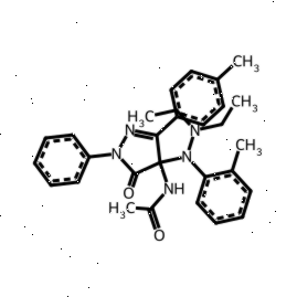 CCN(CC)N(c1ccccc1C)C1(NC(C)=O)C(=O)N(c2ccccc2)N=C1c1ccc(C)cc1